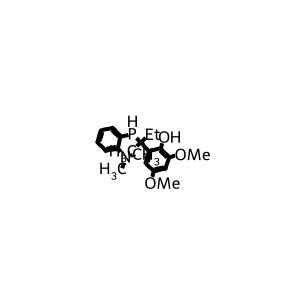 CCC(C)(Pc1ccccc1N(C)C)c1cc(OC)cc(OC)c1O